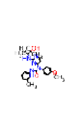 COc1ccc(N(C(=O)Nc2cccc(C)c2)c2ccnc(NC(C)C(C)(C)O)n2)cc1